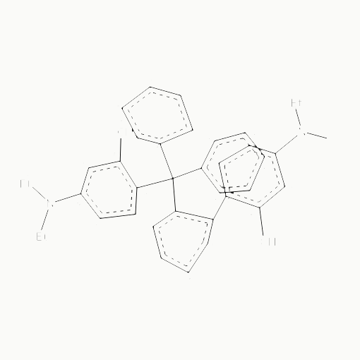 CCN(CC)c1ccc(-c2ccccc2C(c2ccccc2)(c2ccccc2)c2ccc(N(CC)CC)cc2C)c(C)c1